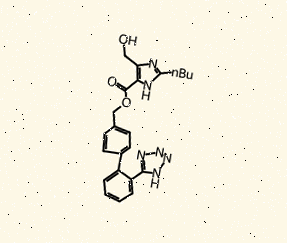 CCCCc1nc(CO)c(C(=O)OCc2ccc(-c3ccccc3-c3nnn[nH]3)cc2)[nH]1